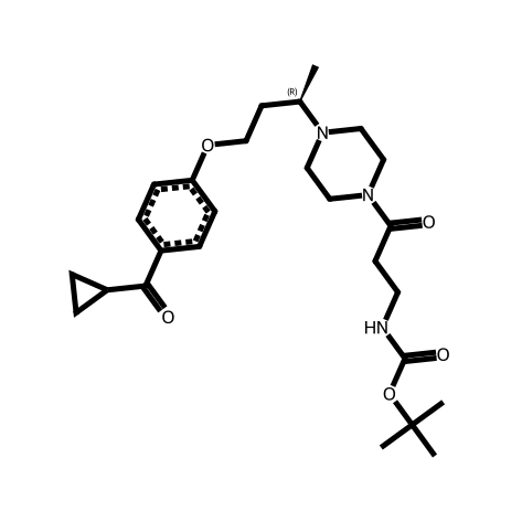 C[C@H](CCOc1ccc(C(=O)C2CC2)cc1)N1CCN(C(=O)CCNC(=O)OC(C)(C)C)CC1